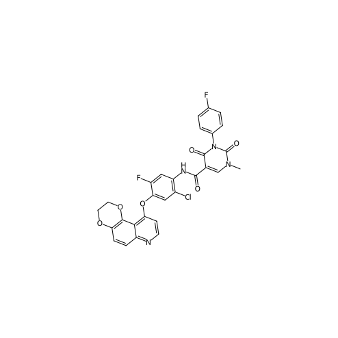 Cn1cc(C(=O)Nc2cc(F)c(Oc3ccnc4ccc5c(c34)OCCO5)cc2Cl)c(=O)n(-c2ccc(F)cc2)c1=O